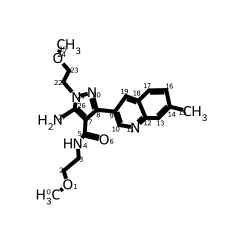 COCCNC(=O)c1c(-c2cnc3cc(C)ccc3c2)nn(CCOC)c1N